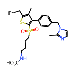 Cc1c(CC(C)C)sc(S(=O)(=O)CCCCNC(=O)O)c1-c1ccc(Cn2ccnc2C)cc1